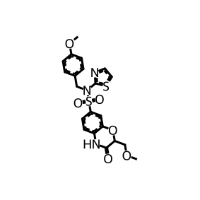 COCC1Oc2cc(S(=O)(=O)N(Cc3ccc(OC)cc3)c3nccs3)ccc2NC1=O